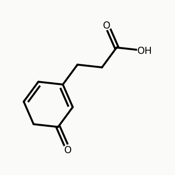 O=C(O)CCC1=CC(=O)CC=C1